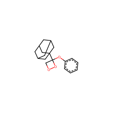 c1ccc(OC2(C34CC5CC(CC(C5)C3)C4)COO2)cc1